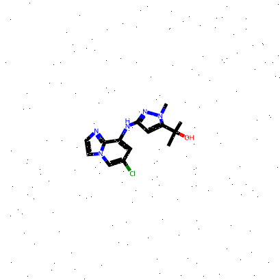 Cn1nc(Nc2cc(Cl)cn3ccnc23)cc1C(C)(C)O